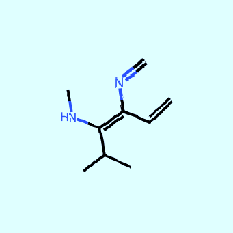 C=C/C(N=C)=C(/NC)C(C)C